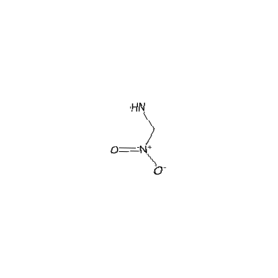 [NH]C[N+](=O)[O-]